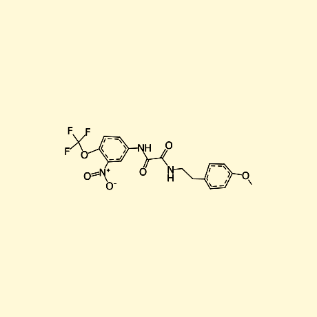 COc1ccc(CCNC(=O)C(=O)Nc2ccc(OC(F)(F)F)c([N+](=O)[O-])c2)cc1